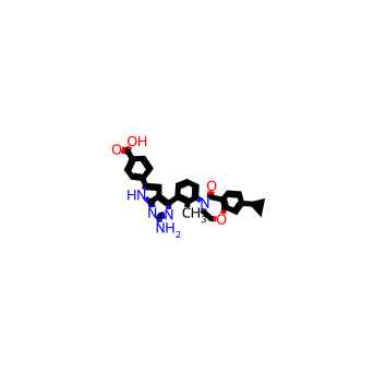 Cc1c(-c2nc(N)nc3[nH]c(-c4ccc(C(=O)O)cc4)cc23)cccc1N1CCOc2cc(C3CC3)ccc2C1=O